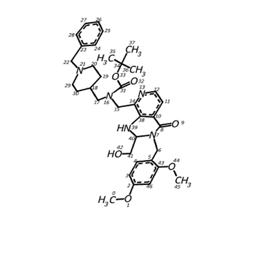 COc1ccc(CN2C(=O)c3ccnc(CN(CC4CCN(Cc5ccccc5)CC4)C(=O)OC(C)(C)C)c3NC2CO)c(OC)c1